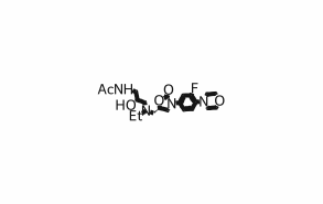 CCN(C[C@@H](O)CNC(C)=O)C[C@H]1CN(c2ccc(N3CCOCC3)c(F)c2)C(=O)O1